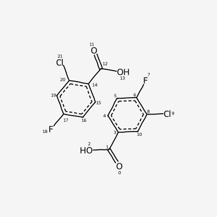 O=C(O)c1ccc(F)c(Cl)c1.O=C(O)c1ccc(F)cc1Cl